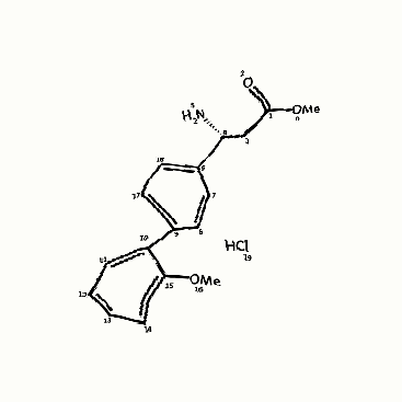 COC(=O)C[C@@H](N)c1ccc(-c2ccccc2OC)cc1.Cl